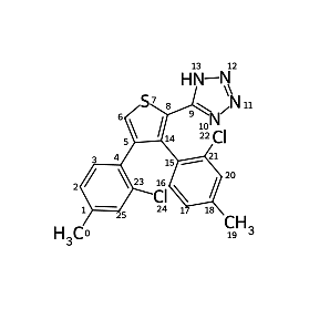 Cc1ccc(-c2csc(-c3nnn[nH]3)c2-c2ccc(C)cc2Cl)c(Cl)c1